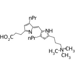 CCCC1=CC(CCC(=O)O)=N/C1=C\c1[nH]c(CCC[N+](C)(C)C)cc1CCC